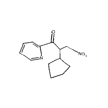 O=C(c1ccccn1)C(C[N+](=O)[O-])C1CCCC1